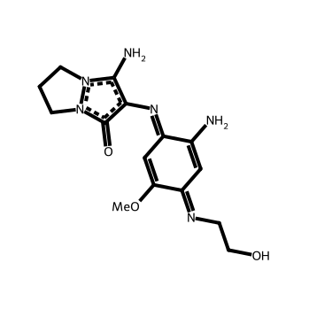 COC1=CC(=Nc2c(N)n3n(c2=O)CCC3)C(N)=CC1=NCCO